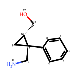 NC[C@@]1(c2ccccc2)C[C@@H]1CO